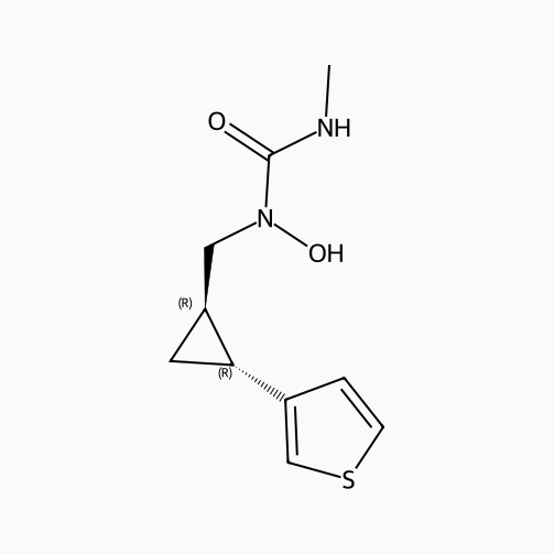 CNC(=O)N(O)C[C@@H]1C[C@H]1c1ccsc1